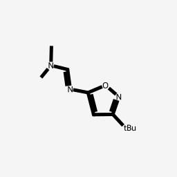 CN(C)C=Nc1cc(C(C)(C)C)no1